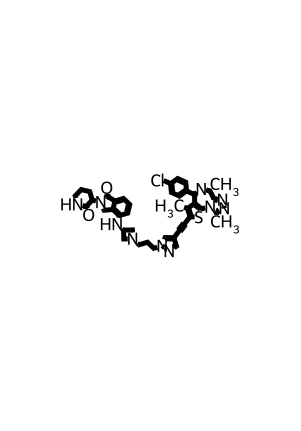 Cc1c(C#Cc2cnn(CCCN3CC(Nc4cccc5c4CN(C4CCCNC4=O)C5=O)C3)c2)sc2c1C(c1ccc(Cl)cc1)=N[C@@H](C)c1nnc(C)n1-2